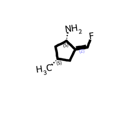 C[C@H]1C/C(=C/F)[C@@H](N)C1